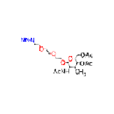 CC(=O)NC1C(OCCOCCOCCN=[N+]=[N-])OC(COC(C)=O)C(OC(C)=O)C1C